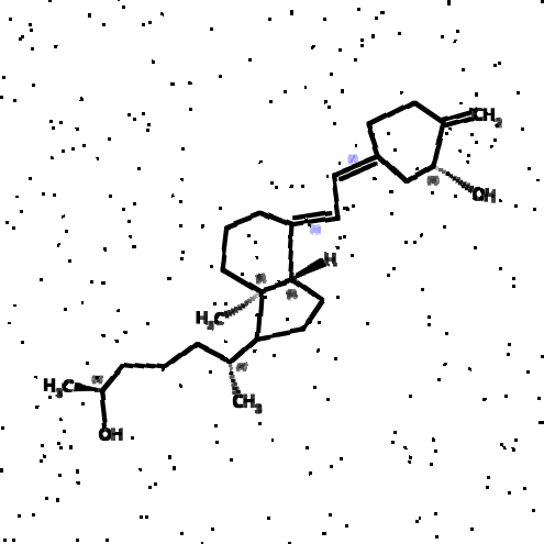 C=C1CC/C(=C/C=C2\CCC[C@]3(C)C([C@H](C)CCC[C@H](C)O)CC[C@@H]23)C[C@H]1O